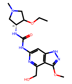 CCOC1CN(C)C[C@H]1NC(=O)Nc1cc2[nH]nc(OC)c2c(CO)n1